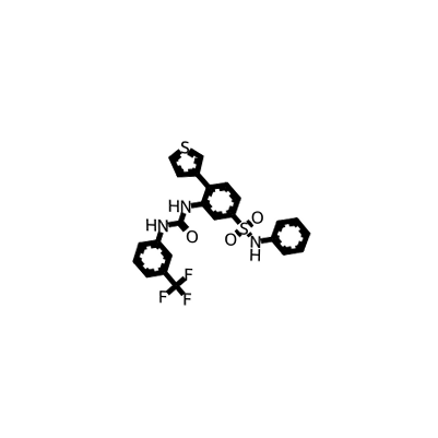 O=C(Nc1cccc(C(F)(F)F)c1)Nc1cc(S(=O)(=O)Nc2ccccc2)ccc1-c1ccsc1